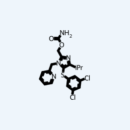 CC(C)c1nc(COC(N)=O)n(Cc2ccccn2)c1Sc1cc(Cl)cc(Cl)c1